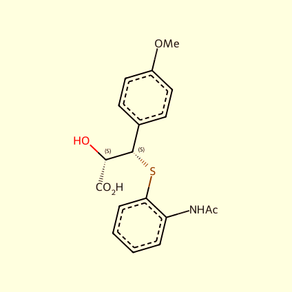 COc1ccc([C@H](Sc2ccccc2NC(C)=O)[C@@H](O)C(=O)O)cc1